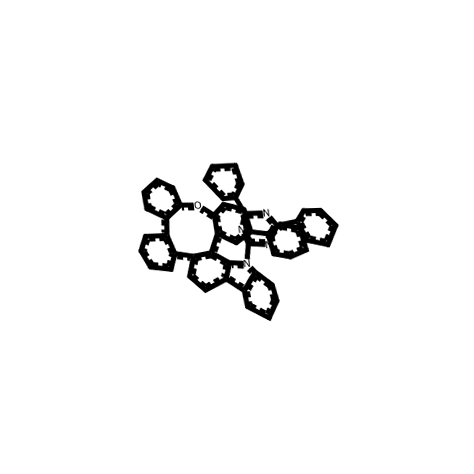 c1ccc(-c2ccc3oc4ccccc4c4ccccc4c4ccc5c6ccccc6n(-c6nc(-c7ccccc7)nc(-c7ccccc7)n6)c5c4c3c2)cc1